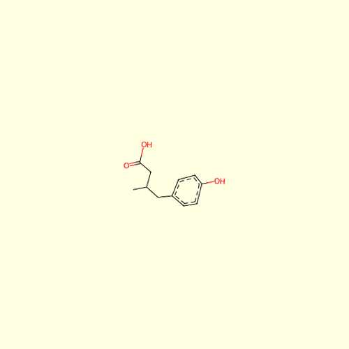 CC(CC(=O)O)Cc1ccc(O)cc1